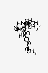 CN/C(C)=C(\C(C)=N)c1cc(C(=O)N[C@H]2CC[C@H](OCCOC)CC2)nc(-n2ccnc2)c1